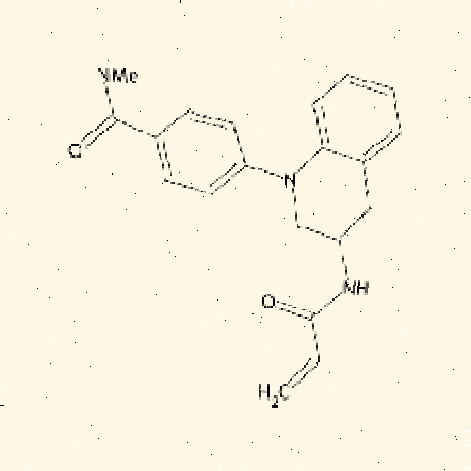 C=CC(=O)NC1Cc2ccccc2N(c2ccc(C(=O)NC)cc2)C1